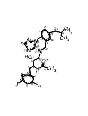 CC(=O)N[C@@H](Cc1cc(F)cc(F)c1)[C@H](O)CNCc1cc(CC(C)C)ccc1-n1cncn1